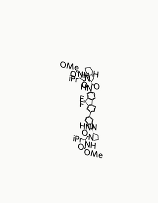 COC(=O)N[C@H](C(=O)N1CCC[C@H]1c1nc2cc(-c3ccc4c(c3)C(F)(F)c3cc(NC(=O)[C@@H]5C[C@@H]6CCCC[C@@H]6N5C(=O)[C@@H](NC(=O)OC)C(C)C)ccc3-4)ccc2[nH]1)C(C)C